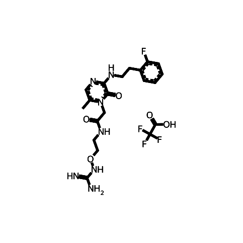 Cc1cnc(NCCc2ccccc2F)c(=O)n1CC(=O)NCCONC(=N)N.O=C(O)C(F)(F)F